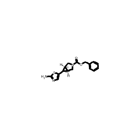 Nc1ncc(C2[C@H]3CN(C(=O)OCc4ccccc4)C[C@@H]23)s1